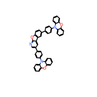 c1ccc2c(c1)Oc1ccccc1N2c1ccc(-c2ccc3oc4ncc(-c5ccc(N6c7ccccc7Oc7ccccc76)cc5)cc4c3c2)cc1